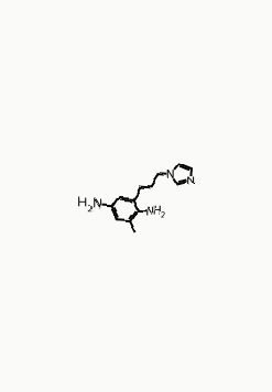 Cc1cc(N)cc(CCCn2ccnc2)c1N